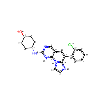 O[C@H]1CC[C@H](Nc2ncc3cc(-c4ccccc4Cl)c4nccn4c3n2)CC1